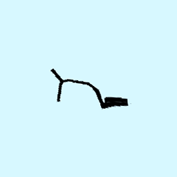 [CH]=CCC(C)C